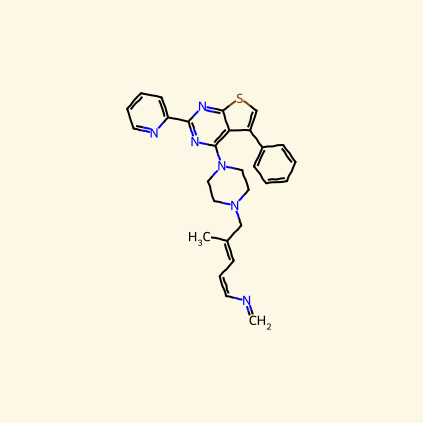 C=N/C=C\C=C(/C)CN1CCN(c2nc(-c3ccccn3)nc3scc(-c4ccccc4)c23)CC1